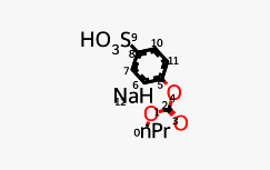 CCCOC(=O)Oc1ccc(S(=O)(=O)O)cc1.[NaH]